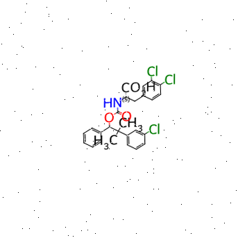 CC(C)(c1cccc(Cl)c1)C(OC(=O)N[C@@H](Cc1ccc(Cl)c(Cl)c1)C(=O)O)c1ccccc1